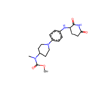 CN(C(=O)OC(C)(C)C)C1CCN(c2ccc(NC3CCC(=O)NC3=O)cc2)CC1